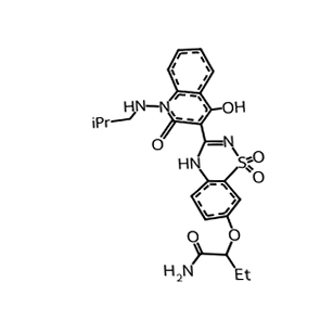 CCC(Oc1ccc2c(c1)S(=O)(=O)N=C(c1c(O)c3ccccc3n(NCC(C)C)c1=O)N2)C(N)=O